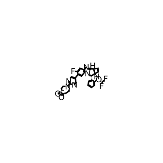 O=S1(=O)CCN(c2ncc(-c3cc4c(cc3F)nc3n4[C@@H](c4ccccc4OC(F)F)[C@H]4C=C[C@@H]34)cn2)CC1